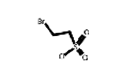 O=S(=O)(Cl)CCBr